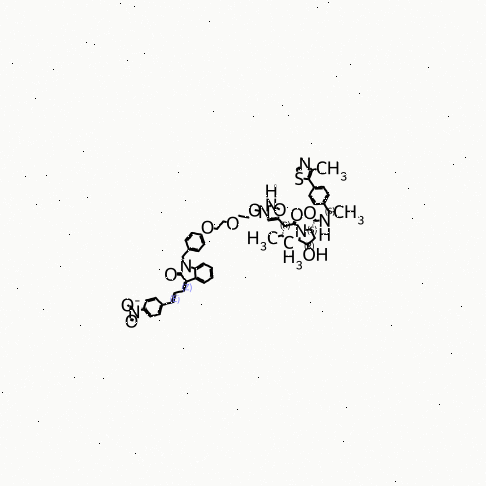 Cc1ncsc1-c1ccc([C@H](C)NC(=O)[C@@H]2C[C@@H](O)CN2C(=O)[C@@H](C2=CN(OCCOCCOc3ccc(CN4C(=O)/C(=C\C=C\c5ccc([N+](=O)[O-])cc5)c5ccccc54)cc3)NO2)C(C)C)cc1